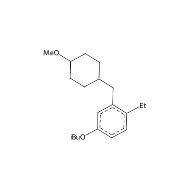 CCc1ccc(OCC(C)C)cc1CC1CCC(OC)CC1